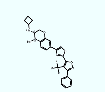 O[C@@H]1c2ccc(-c3noc(-c4onc(-c5ccccc5)c4C(F)(F)F)n3)cc2OC[C@H]1NC1CCC1